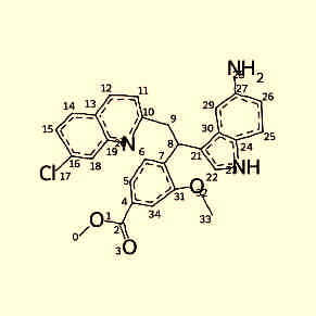 COC(=O)c1ccc(C(Cc2ccc3ccc(Cl)cc3n2)c2c[nH]c3ccc(N)cc23)c(OC)c1